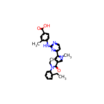 CCc1ccccc1N(CC)C(=O)c1cc(-c2ccnc(Nc3ccc(C(=O)O)cc3C)n2)n(C)c1